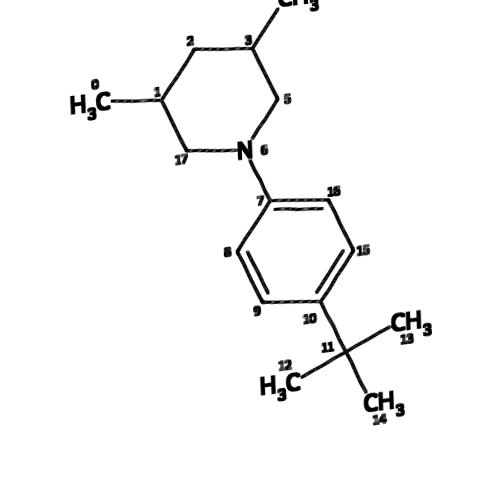 CC1CC(C)CN(c2ccc(C(C)(C)C)cc2)C1